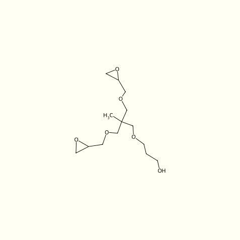 CC(COCCCO)(COCC1CO1)COCC1CO1